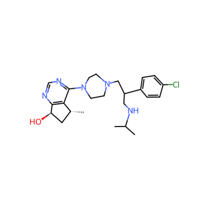 CC(C)NCC(CN1CCN(c2ncnc3c2[C@H](C)C[C@H]3O)CC1)c1ccc(Cl)cc1